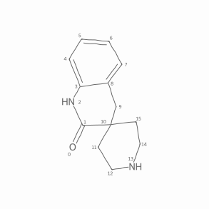 O=C1Nc2ccccc2CC12CCNCC2